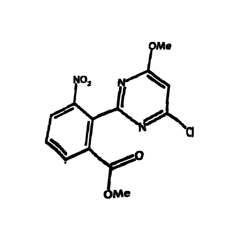 COC(=O)c1[c]ccc([N+](=O)[O-])c1-c1nc(Cl)cc(OC)n1